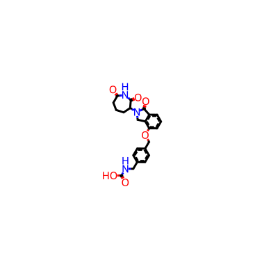 O=C(O)NCc1ccc(COc2cccc3c2CN(C2CCCC(=O)NC2=O)C3=O)cc1